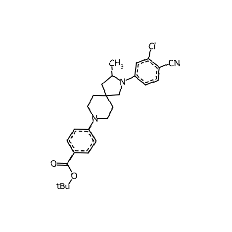 CC1CC2(CCN(c3ccc(C(=O)OC(C)(C)C)cc3)CC2)CN1c1ccc(C#N)c(Cl)c1